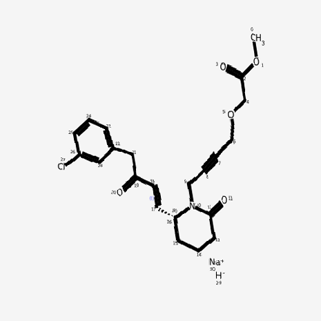 COC(=O)COCC#CCN1C(=O)CCC[C@@H]1/C=C/C(=O)Cc1cccc(Cl)c1.[H-].[Na+]